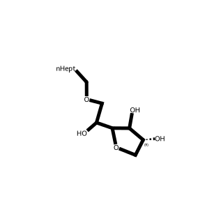 CCCCCCCCOCC(O)C1OC[C@@H](O)C1O